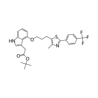 Cc1nc(-c2ccc(C(F)(F)F)cc2)sc1CCCOc1cccc2[nH]cc(CC(=O)OC(C)(C)C)c12